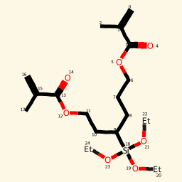 C=C(C)C(=O)OCCCC(CCOC(=O)C(=C)C)[Si](OCC)(OCC)OCC